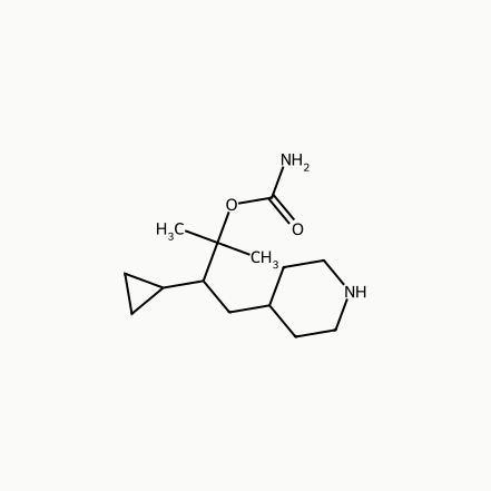 CC(C)(OC(N)=O)C(CC1CCNCC1)C1CC1